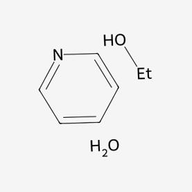 CCO.O.c1ccncc1